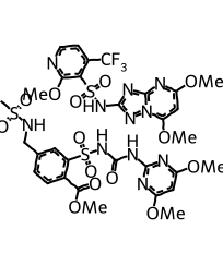 COC(=O)c1ccc(CNS(C)(=O)=O)cc1S(=O)(=O)NC(=O)Nc1nc(OC)cc(OC)n1.COc1cc(OC)n2nc(NS(=O)(=O)c3c(C(F)(F)F)ccnc3OC)nc2n1